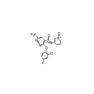 O=C(Nc1ccc[n+]([O-])c1)c1cc(C(F)(F)F)nnc1Oc1ccc(F)cc1Cl